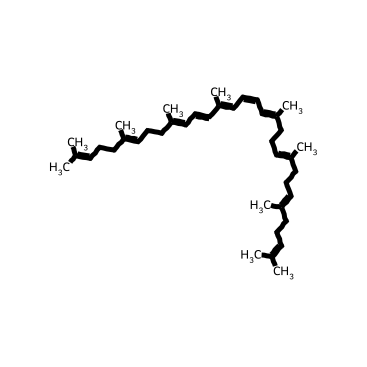 CC(C)=CCC/C(C)=C/CC/C(C)=C/C=C/C(C)=C/C=C\C=C(/C)CC/C=C(\C)CC/C=C(\C)CCC=C(C)C